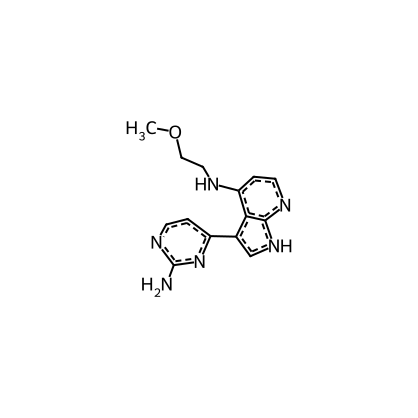 COCCNc1ccnc2[nH]cc(-c3ccnc(N)n3)c12